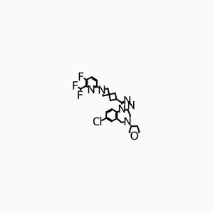 Fc1ccc(N2CC3(CC(c4nnc5n4-c4ccc(Cl)cc4CN([C@@H]4CCOC4)C5)C3)C2)nc1C(F)F